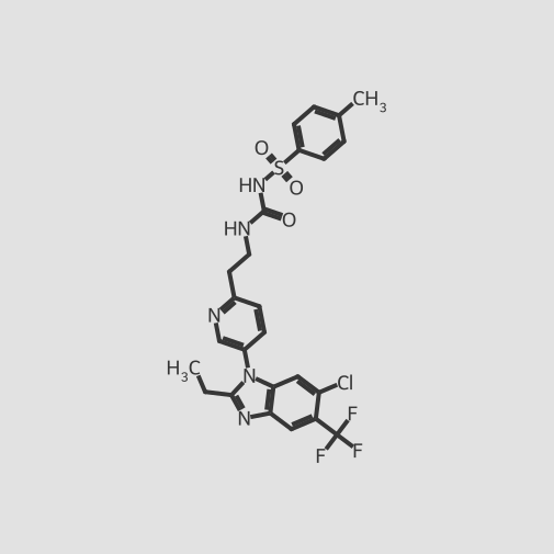 CCc1nc2cc(C(F)(F)F)c(Cl)cc2n1-c1ccc(CCNC(=O)NS(=O)(=O)c2ccc(C)cc2)nc1